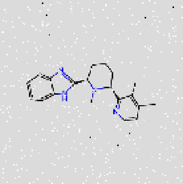 Cc1ccnc([C@@H]2CCC[C@H](c3nc4ccccc4[nH]3)N2C)c1C